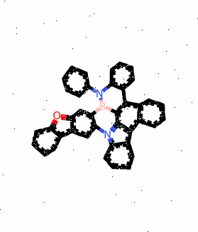 c1ccc(N2B3c4cc5oc6ccccc6c5cc4-n4c5ccccc5c5c6ccccc6c(c3c54)-c3ccccc32)cc1